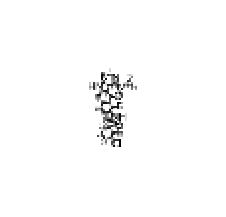 CN(c1ncnc2[nH]cc(C(=O)c3c(F)ccc(NS(=O)(=O)c4cccc(Cl)c4F)c3F)c12)C1CC1